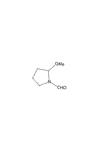 COC1CCCN1C=O